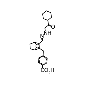 O=C(O)c1ccc(CC2C3CCC(O3)C2C=NNCC(=O)C2CCCCC2)cc1